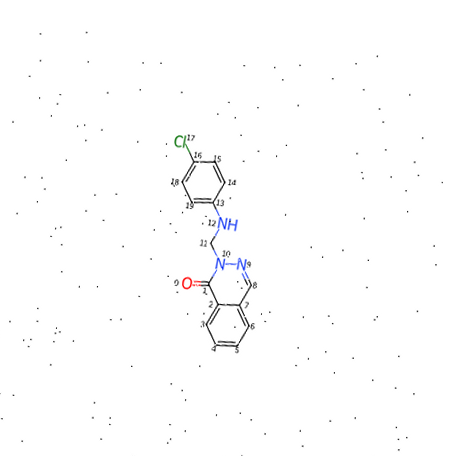 O=c1c2ccccc2cnn1CNc1ccc(Cl)cc1